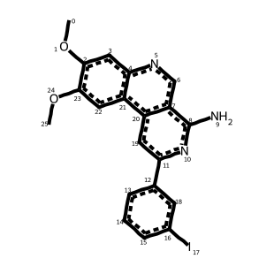 COc1cc2ncc3c(N)nc(-c4cccc(I)c4)cc3c2cc1OC